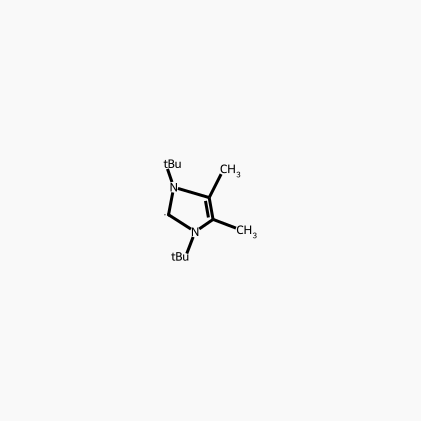 CC1=C(C)N(C(C)(C)C)[CH]N1C(C)(C)C